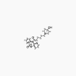 O=C1Nc2cccnc2N(C(=O)CCCCCN2CCC(O)CC2)c2ccccc21